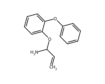 C=CC(N)Oc1ccccc1Oc1ccccc1